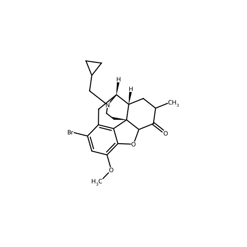 COc1cc(Br)c2c3c1OC1C(=O)C(C)C[C@H]4[C@@H](C2)N(CC2CC2)CC[C@]314